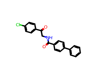 O=C(CNC(=O)c1ccc(-c2ccccc2)cc1)c1ccc(Cl)cc1